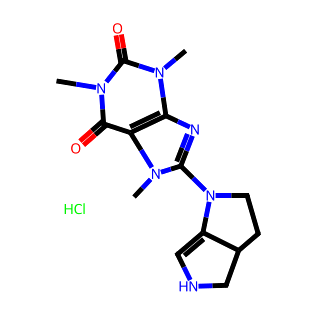 Cl.Cn1c(=O)c2c(nc(N3CCC4CNC=C43)n2C)n(C)c1=O